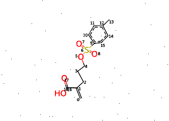 C=C(CCCOS(=O)(=O)c1ccc(C)cc1)C(=O)O